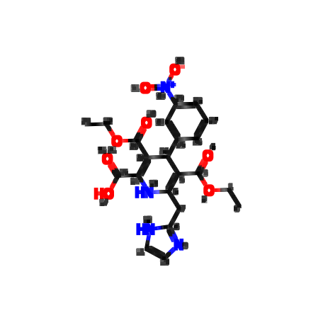 CCOC(=O)C1=C(Cc2ncc[nH]2)NC(C(=O)O)=C(C(=O)OCC)C1c1cccc([N+](=O)[O-])c1